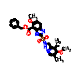 COC1=CCC2=NC(S(=O)(=O)NCc3ncc(C)c(OC)c3C)=NC2=C1C(=O)OCc1ccccc1